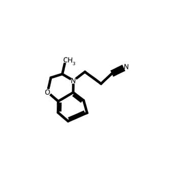 CC1COc2ccccc2N1CCC#N